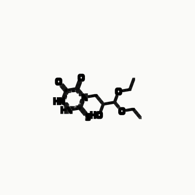 CCOC(OCC)C(O)Cn1c(=S)[nH][nH]c(=O)c1=O